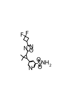 CC1(C)C(c2cncc(S(N)(=O)=O)c2)C1c1nc(C2CC(F)(F)C2)no1